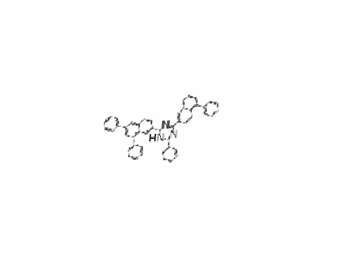 c1ccc(C2=NC(c3ccc4c(-c5ccccc5)cccc4c3)=NC(c3ccc4cc(-c5ccccc5)cc(-c5ccccc5)c4c3)N2)cc1